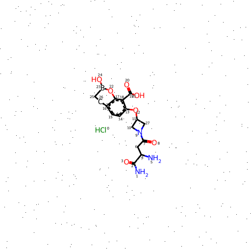 Cl.NC(=O)C(N)CC(=O)N1CC(Oc2ccc3c(c2C(=O)O)OB(O)CC3)C1